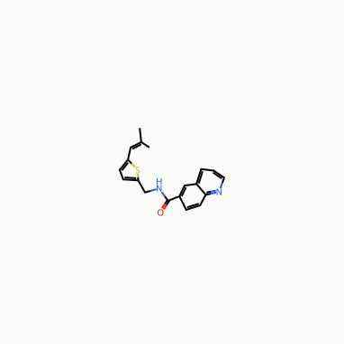 CC(C)=Cc1ccc(CNC(=O)c2ccc3ncccc3c2)s1